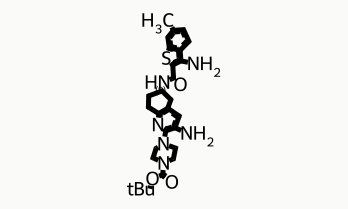 Cc1ccc2c(N)c(C(=O)N[C@H]3CCc4nc(N5CCN(C(=O)OC(C)(C)C)CC5)c(N)cc4C3)sc2c1